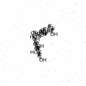 N#Cc1ccc(O)cc1.N#Cc1cccc(O)c1.N#Cc1ccccc1O.O=[N+]([O-])c1ccc(O)cc1.O=[N+]([O-])c1cccc(O)c1.O=[N+]([O-])c1ccccc1O.Oc1c(C(F)(F)F)cccc1C(F)(F)F.Oc1cc(C(F)(F)F)cc(C(F)(F)F)c1.Oc1ccc(-c2c(C(F)(F)F)cc(C(F)(F)F)cc2C(F)(F)F)cc1.Oc1ccc(C(F)(F)F)cc1